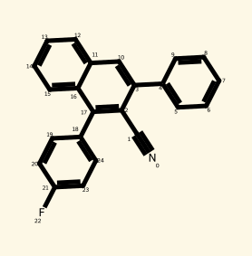 N#Cc1c(-c2ccccc2)cc2ccccc2c1-c1ccc(F)cc1